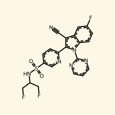 N#Cc1c(-c2ccc(S(=O)(=O)NC(CF)CF)cn2)n(-c2ncccn2)c2ccc(F)cc12